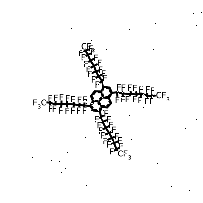 FC(F)(F)C(F)(F)C(F)(F)C(F)(F)C(F)(F)C(F)(F)C(F)(F)C(F)(F)c1cc(C(F)(F)C(F)(F)C(F)(F)C(F)(F)C(F)(F)C(F)(F)C(F)(F)C(F)(F)F)c2ccc3c(C(F)(F)C(F)(F)C(F)(F)C(F)(F)C(F)(F)C(F)(F)C(F)(F)C(F)(F)F)cc(C(F)(F)C(F)(F)C(F)(F)C(F)(F)C(F)(F)C(F)(F)C(F)(F)C(F)(F)F)c4ccc1c2c43